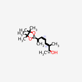 C=C(/C=C\C=C(/C)[C@@H](C)O)B1OC(C)(C)C(C)(C)O1